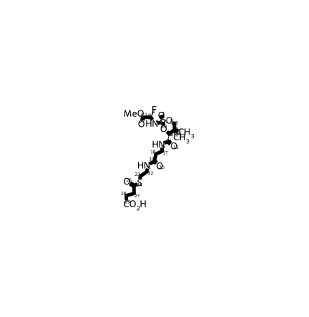 COC(=O)[C@H](F)NP1(=O)OCC(C)(C)[C@H](C(=O)NCCC(=O)NCCSC(=O)CCC(=O)O)O1